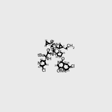 C=C[C@@H]1C[C@@]1(C(=O)NS(=O)(=O)C1CC1)N1C[C@H](Oc2ncc(OC)c3ccc(Cl)cc23)C[C@H]1C(=O)NC(=O)C(Nc1cncc(Cl)c1)C(C)(C)C